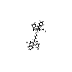 NC(BCCCCCCBC(N)=C(c1ccccc1)c1ccccc1)=C(c1ccccc1)c1ccccc1